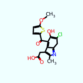 CCOc1ccc(C(=O)C2=C3C(=NC(C)=C3CC(=O)O)CC(Cl)=C2O)s1